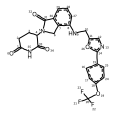 O=C1CCC(N2Cc3c(NCc4cnc(-c5ccc(OC(F)(F)F)cc5)o4)cccc3C2=O)C(=O)N1